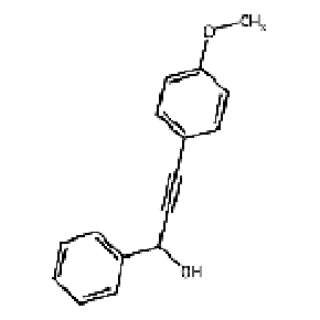 COc1ccc(C#CC(O)c2ccccc2)cc1